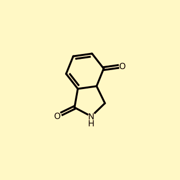 O=C1NCC2C(=O)C=CC=C12